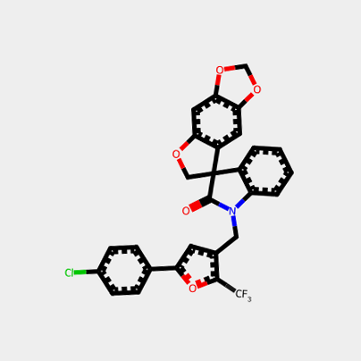 O=C1N(Cc2cc(-c3ccc(Cl)cc3)oc2C(F)(F)F)c2ccccc2C12COc1cc3c(cc12)OCO3